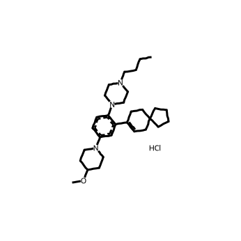 CCCCN1CCN(c2ccc(N3CCC(OC)CC3)cc2C2=CCC3(CCCC3)CC2)CC1.Cl